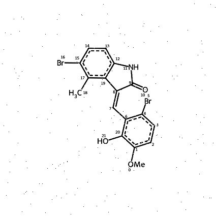 COc1ccc(Br)c(C=C2C(=O)Nc3ccc(Br)c(C)c32)c1O